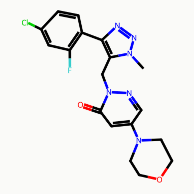 Cn1nnc(-c2ccc(Cl)cc2F)c1Cn1ncc(N2CCOCC2)cc1=O